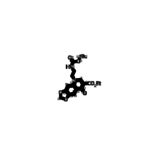 CCOC(=O)c1cn(CCNC(=O)OC(C)(C)C)c2cc3c(cc2c1=O)OCO3